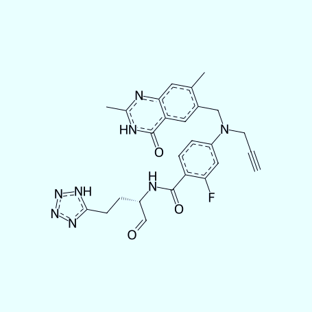 C#CCN(Cc1cc2c(=O)[nH]c(C)nc2cc1C)c1ccc(C(=O)N[C@H](C=O)CCc2nnn[nH]2)c(F)c1